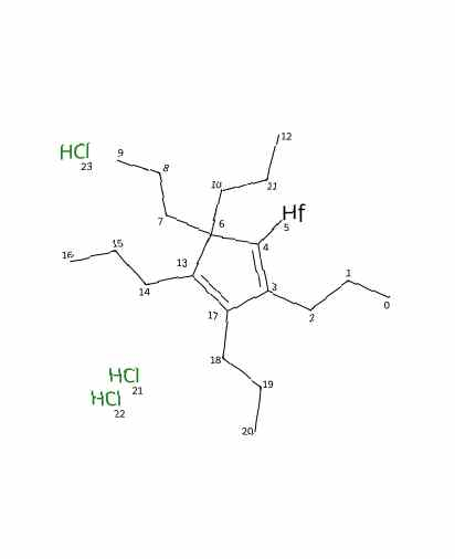 CCCC1=[C]([Hf])C(CCC)(CCC)C(CCC)=C1CCC.Cl.Cl.Cl